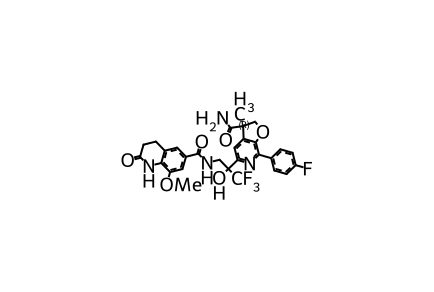 COc1cc(C(=O)NCC(O)(c2cc3c(c(-c4ccc(F)cc4)n2)OC[C@]3(C)C(N)=O)C(F)(F)F)cc2c1NC(=O)CC2